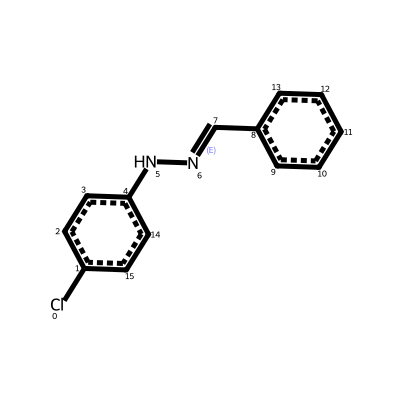 Clc1ccc(N/N=C/c2ccccc2)cc1